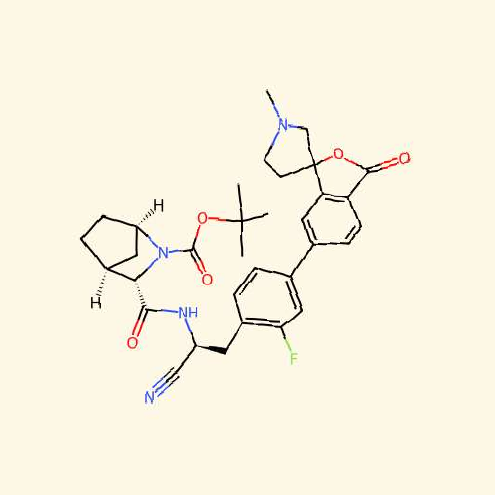 CN1CCC2(C1)OC(=O)c1ccc(-c3ccc(C[C@@H](C#N)NC(=O)[C@@H]4[C@H]5CC[C@H](C5)N4C(=O)OC(C)(C)C)c(F)c3)cc12